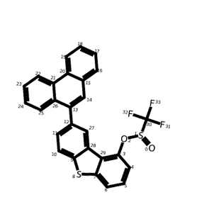 O=S(Oc1cccc2sc3ccc(-c4cc5ccccc5c5ccccc45)cc3c12)C(F)(F)F